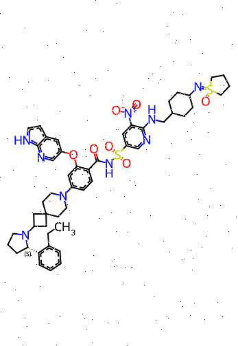 CCc1ccccc1[C@@H]1CCCN1C1CC2(CCN(c3ccc(C(=O)NS(=O)(=O)c4cnc(NCC5CCC(N=S6(=O)CCCC6)CC5)c([N+](=O)[O-])c4)c(Oc4cnc5[nH]ccc5c4)c3)CC2)C1